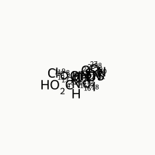 O=C(NC(C(=O)O)C(O)c1ccc(Cl)cc1)c1ccc(I)cc1NS(=O)(=O)c1cccc2nsnc12